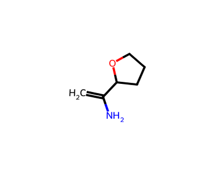 C=C(N)C1CCCO1